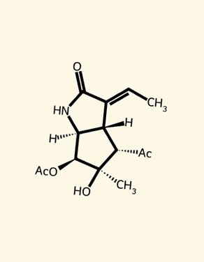 C/C=C1/C(=O)N[C@H]2[C@H]1[C@H](C(C)=O)[C@@](C)(O)[C@H]2OC(C)=O